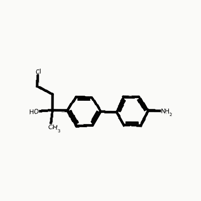 CC(O)(CCCl)c1ccc(-c2ccc(N)cc2)cc1